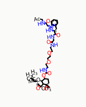 COC1C(OC(=O)NCCOCCOCCNC(=O)CNC(=O)[C@H](Cc2ccccc2)NNCC(=O)NCC(C)=O)CC[C@]2(CO2)C1C1(C)O[C@@H]1CC=C(C)C